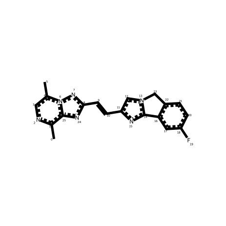 Cc1ncc(C)n2nc(C=Cc3cn4c(n3)-c3cc(F)ccc3C4)nc12